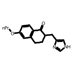 CCCOc1ccc2c(c1)CCC(Cc1c[nH]cn1)C2=O